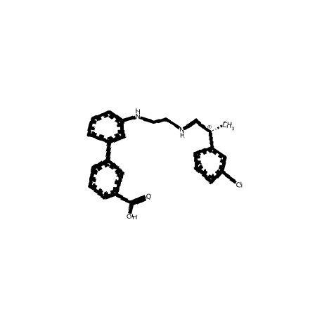 C[C@@H](CNCCNc1cccc(-c2cccc(C(=O)O)c2)c1)c1cccc(Cl)c1